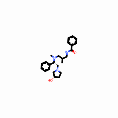 CC(CNC(=O)c1ccccc1)CN(C)[C@H](CN1CC[C@H](O)C1)c1ccccc1